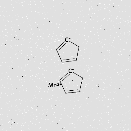 [C-]1=CC=CC1.[C-]1=CC=CC1.[Mn+2]